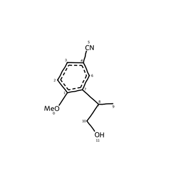 COc1ccc(C#N)cc1[C](C)CO